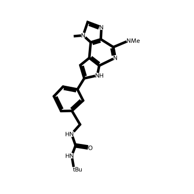 CNc1nc2[nH]c(-c3cccc(CNC(=O)NC(C)(C)C)c3)cc2c2c1ncn2C